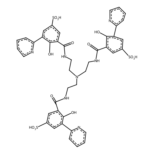 O=C(NCCN(CCNC(=O)c1cc(S(=O)(=O)O)cc(-c2ccccn2)c1O)CCNC(=O)c1cc(S(=O)(=O)O)cc(-c2ccccn2)c1O)c1cc(S(=O)(=O)O)cc(-c2ccccn2)c1O